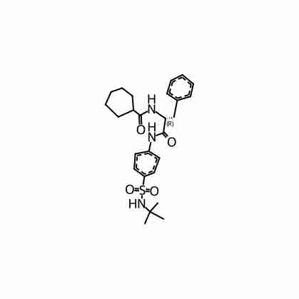 CC(C)(C)NS(=O)(=O)c1ccc(NC(=O)[C@@H](Cc2ccccc2)NC(=O)C2CCCCC2)cc1